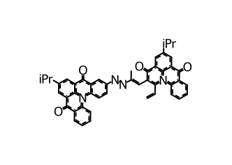 C=Cc1c(/C=C(C)/N=N/c2ccc3c(c2)c(=O)c2cc(C(C)C)cc4c(=O)c5ccccc5n3c42)c(=O)c2cc(C(C)C)cc3c(=O)c4ccccc4n1c23